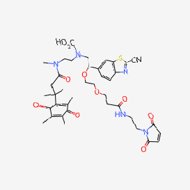 CC1=C(C)C(=O)C(C(C)(C)CC(=O)N(C)CCN(CC(OCCOCCC(=O)NCCN2C(=O)C=CC2=O)c2ccc3nc(C#N)sc3c2)C(=O)O)=C(C)C1=O